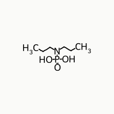 CCCN(CCC)P(=O)(O)O